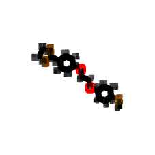 CSc1ccc(OCCOc2ccc(C3SCCS3)cc2)cc1